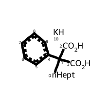 CCCCCCCC(C(=O)O)(C(=O)O)c1ccccc1.[KH]